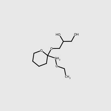 CCO[SiH2]C1(OCC(O)CO)CCCCO1